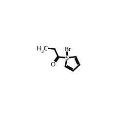 CCC(=O)S1(Br)C=CC=C1